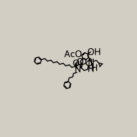 CC(=O)Oc1cc(O)c2c3c1O[C@H]1[C@@H](N(CCCCc4ccccc4)C(=O)CCCCCCCCCCc4ccccc4)CC[C@H]4[C@@H](C2)N(CC2CC2)CC[C@@]341